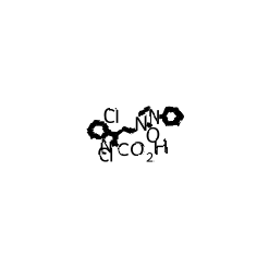 O=C(O)c1c(CCN2CCN(c3ccccc3)C2=O)c2c(Cl)cccc2n1Cl